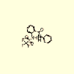 O=C(Nc1ccccc1)c1ccccc1NS(=O)(=O)C(F)(F)F